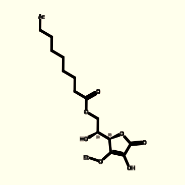 CCOC1=C(O)C(=O)O[C@@H]1[C@@H](O)COC(=O)CCCCCCCC(C)=O